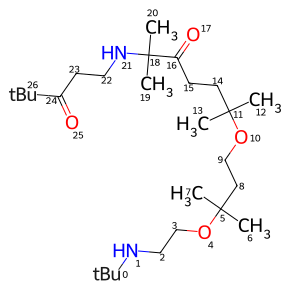 CC(C)(C)NCCOC(C)(C)CCOC(C)(C)CCC(=O)C(C)(C)NCCC(=O)C(C)(C)C